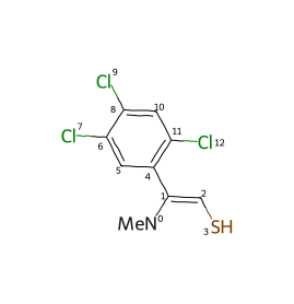 CN/C(=C\S)c1cc(Cl)c(Cl)cc1Cl